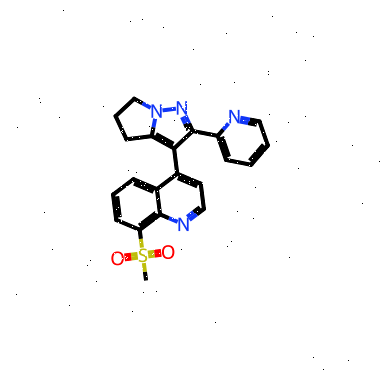 CS(=O)(=O)c1cccc2c(-c3c(-c4ccccn4)nn4c3CCC4)ccnc12